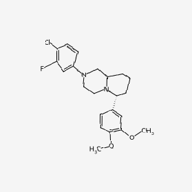 COc1ccc([C@H]2CCCC3CN(c4ccc(Cl)c(F)c4)CCN32)cc1OC